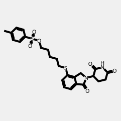 Cc1ccc(S(=O)(=O)OCCCCCSc2cccc3c2CN(C2CCC(=O)NC2=O)C3=O)cc1